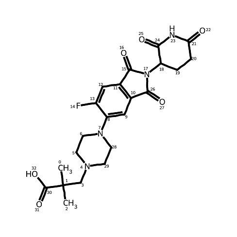 CC(C)(CN1CCN(c2cc3c(cc2F)C(=O)N(C2CCC(=O)NC2=O)C3=O)CC1)C(=O)O